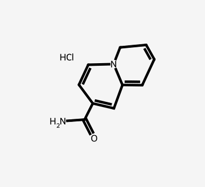 Cl.NC(=O)C1=CC2=CC=CCN2C=C1